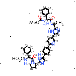 COC(=O)N[C@@H](C(=O)N[C@@H](C)c1ncc(-c2ccc(-c3ccc(-c4cnc([C@@H]5CCCN5C(=O)[C@H](NC(=O)O)C5=CCCC=C5)[nH]4)cc3)nc2)[nH]1)c1ccccc1